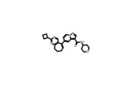 O=C(NC1CCOCC1)c1cnn2ccc(C3=CCCCc4nc(C5CCC5)ncc43)cc12